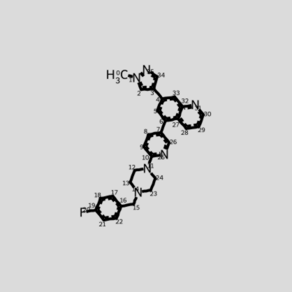 Cn1cc(-c2cc(-c3ccc(N4CCN(Cc5ccc(F)cc5)CC4)nc3)c3cccnc3c2)cn1